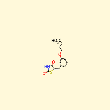 O=C(O)CCCOc1cccc(C=C2SC(=O)NC2=O)c1